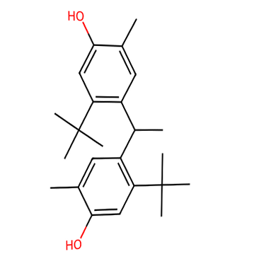 Cc1cc(C(C)c2cc(C)c(O)cc2C(C)(C)C)c(C(C)(C)C)cc1O